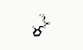 O=S(OCc1ccccc1F)OCC(F)(F)F